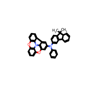 CC1(C)c2ccc(N(c3ccccc3)c3cc4c5c(c3)c3cccc6c3n5-c3c(cccc3O4)O6)cc2C2C=CC=CC21